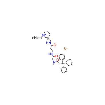 CCCCCCC[N+]1(C)CCC[C@H](CNC(=O)CCNC(=O)CN(C)C(=O)CC(c2ccccc2)(c2ccccc2)c2ccccc2)C1.[Br-]